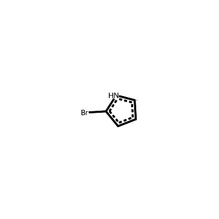 Brc1cc[c][nH]1